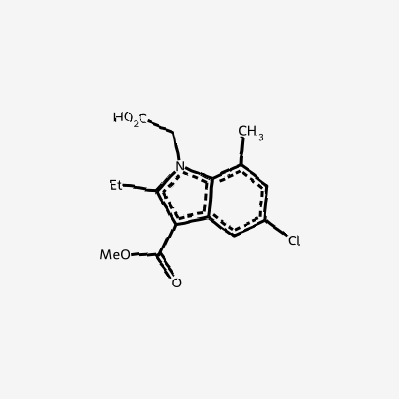 CCc1c(C(=O)OC)c2cc(Cl)cc(C)c2n1CC(=O)O